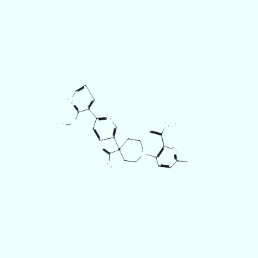 CCOc1ncccc1-c1ccc(C2(C(N)=O)CCN(c3ccc(C(F)(F)F)nc3C(N)=O)CC2)cn1